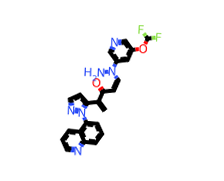 C=C(C(=O)/C=C\N(N)c1cncc(OC(F)F)c1)c1ccnn1-c1cccc2ncccc12